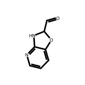 O=CC1Nc2ncccc2O1